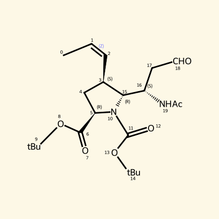 C/C=C\[C@@H]1C[C@H](C(=O)OC(C)(C)C)N(C(=O)OC(C)(C)C)[C@H]1[C@H](CC=O)NC(C)=O